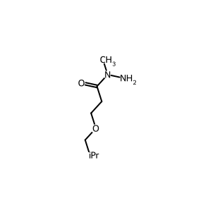 CC(C)COCCC(=O)N(C)N